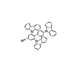 N#Cc1cc(-n2c3ccccc3c3ccccc32)c(-c2ccc(-n3c4ccccc4c4ccccc43)cc2)c(-n2c3ccccc3c3ccccc32)c1